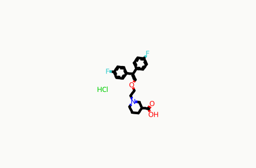 Cl.O=C(O)C1CCCN(CCOC=C(c2ccc(F)cc2)c2ccc(F)cc2)C1